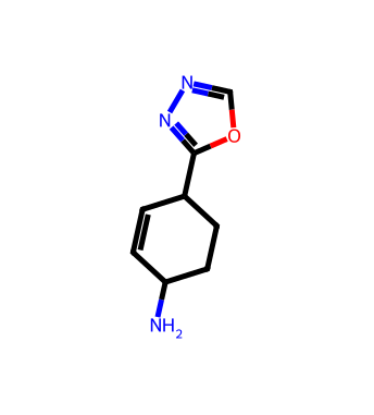 NC1C=CC(c2nnco2)CC1